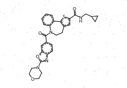 O=C(NCC1CC1)c1cc2c(s1)-c1ccccc1N(C(=O)c1ccc3nc(N4CCOCC4)oc3c1)CC2